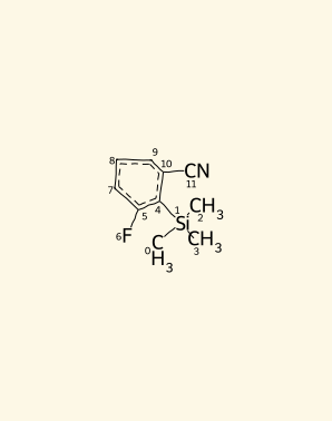 C[Si](C)(C)c1c(F)cccc1C#N